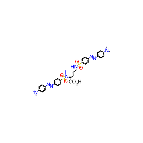 CN(C)c1ccc(N=Nc2ccc(S(=O)(=O)NCCC[C@H](NS(=O)(=O)c3ccc(N=Nc4ccc(N(C)C)cc4)cc3)C(=O)O)cc2)cc1